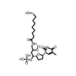 CCCCCCCCCCCCCCCCCC(=O)NCC(CC(OP(=O)(O)O)[C@@H]1CC[C@H](n2cc(C)c(=O)[nH]c2=O)O1)OCC